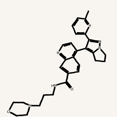 Cc1cccc(-c2nn3c(c2-c2ccnc4cc(C(=O)NCCCN5CCOCC5)ccc24)CCC3)n1